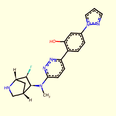 CN(c1ccc(-c2ccc(-n3cccn3)cc2O)nn1)[C@H]1[C@@H]2CN[C@@H](C2)[C@H]1F